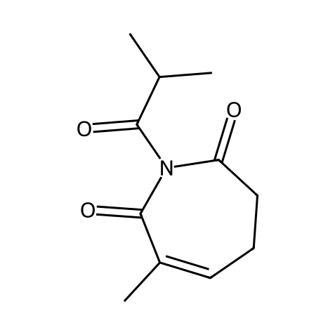 CC1=CCCC(=O)N(C(=O)C(C)C)C1=O